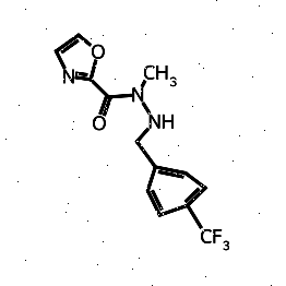 CN(NCc1ccc(C(F)(F)F)cc1)C(=O)c1ncco1